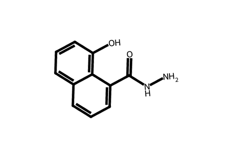 NNC(=O)c1cccc2cccc(O)c12